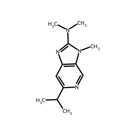 CC(C)c1cc2nc(N(C)C)n(C)c2cn1